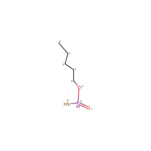 CCCCCO[PH](=O)S